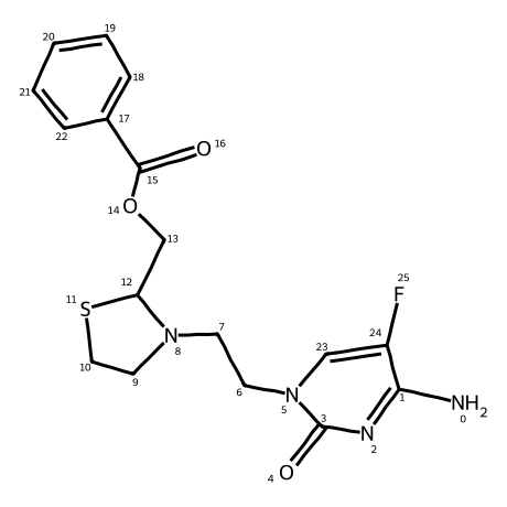 Nc1nc(=O)n(CCN2CCSC2COC(=O)c2ccccc2)cc1F